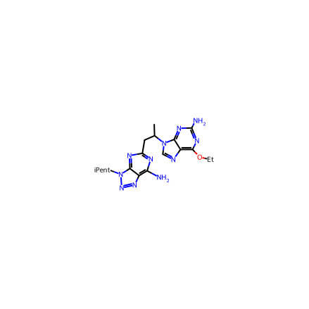 CCCC(C)n1nnc2c(N)nc(CC(C)n3cnc4c(OCC)nc(N)nc43)nc21